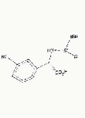 CC(C)(C)[S+]([O-])N[C@H](C(=O)O)c1cccc(C#N)c1